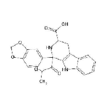 CC(Cl)C(=O)C1(c2ccc3c(c2)OCO3)NC(C(=O)O)Cc2c1[nH]c1ccccc21